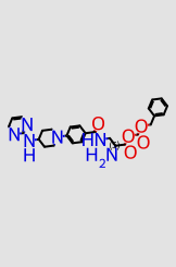 N[C@@H](CNC(=O)c1ccc(N2CCC(Nc3ncccn3)CC2)cc1)C(=O)OC(=O)OCc1ccccc1